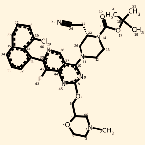 CN1CCOC(COc2nc(N3CCN(C(=O)OC(C)(C)C)[C@@H](CC#N)C3)c3cnc(-c4cccc5cccc(Cl)c45)c(F)c3n2)C1